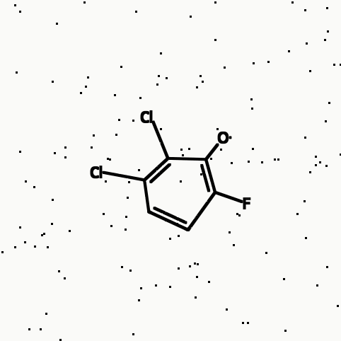 [O]c1c(F)ccc(Cl)c1Cl